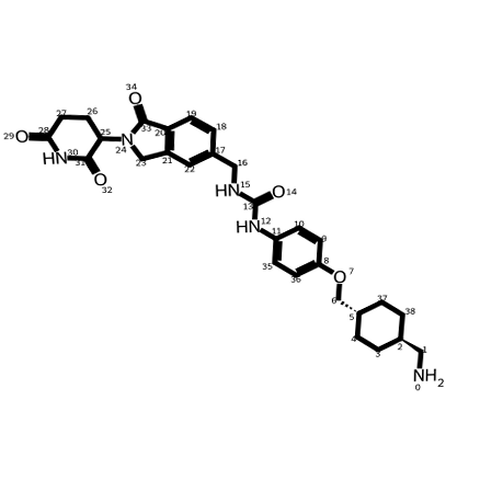 NC[C@H]1CC[C@H](COc2ccc(NC(=O)NCc3ccc4c(c3)CN(C3CCC(=O)NC3=O)C4=O)cc2)CC1